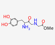 COC(=O)CNCC(=O)[C@@H](N)Cc1ccc(O)c(O)c1